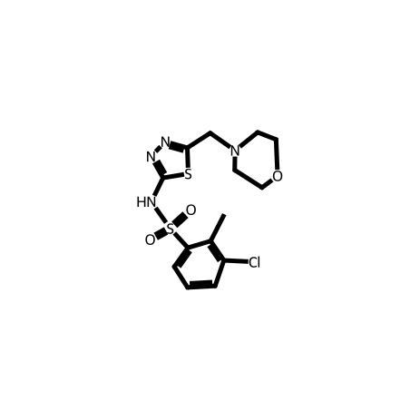 Cc1c(Cl)cccc1S(=O)(=O)Nc1nnc(CN2CCOCC2)s1